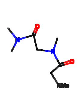 CNCC(=O)N(C)CC(=O)N(C)C